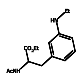 CCNc1cccc(CC(NC(C)=O)C(=O)OCC)c1